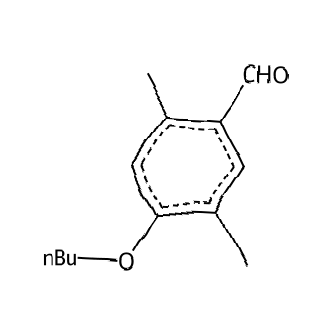 CCCCOc1cc(C)c(C=O)cc1C